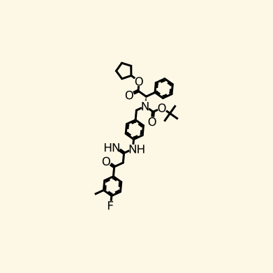 Cc1cc(C(=O)CC(=N)Nc2ccc(CN(C(=O)OC(C)(C)C)[C@H](C(=O)OC3CCCC3)c3ccccc3)cc2)ccc1F